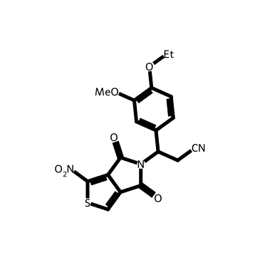 CCOc1ccc(C(CC#N)N2C(=O)c3csc([N+](=O)[O-])c3C2=O)cc1OC